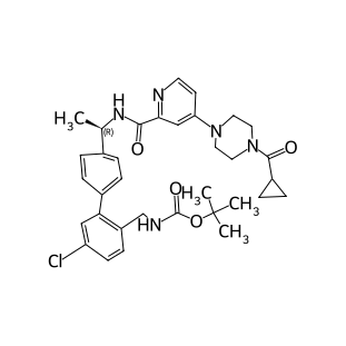 C[C@@H](NC(=O)c1cc(N2CCN(C(=O)C3CC3)CC2)ccn1)c1ccc(-c2cc(Cl)ccc2CNC(=O)OC(C)(C)C)cc1